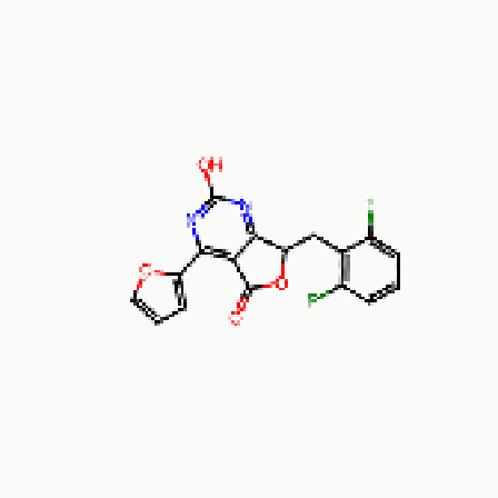 O=C1OC(Cc2c(F)cccc2F)c2nc(O)nc(-c3ccco3)c21